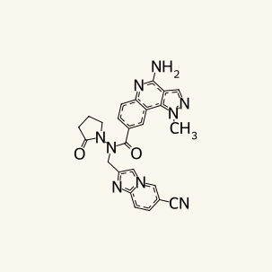 Cn1ncc2c(N)nc3ccc(C(=O)N(Cc4cn5cc(C#N)ccc5n4)N4CCCC4=O)cc3c21